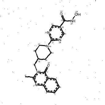 Cc1nc2ccccc2c(=O)n1CC1CCN(c2ncc(C(=O)NO)cn2)CC1